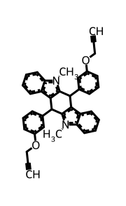 C#CCOc1cccc(C2c3c(n(C)c4ccccc34)C(c3cccc(OCC#C)c3)c3c2n(C)c2ccccc32)c1